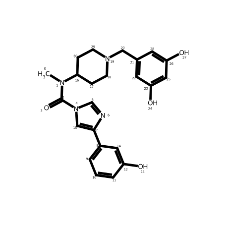 CN(C(=O)n1cnc(-c2cccc(O)c2)c1)C1CCN(Cc2cc(O)cc(O)c2)CC1